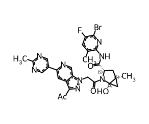 CC(=O)c1nn(CC(=O)N2[C@H](C(=O)Nc3nc(Br)c(F)cc3C)C[C@@]3(C)C[C@@]23O)c2cnc(-c3cnc(C)nc3)cc12